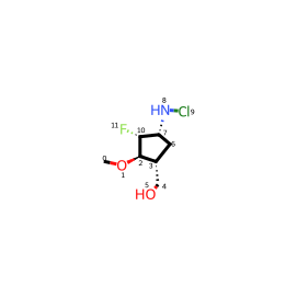 CO[C@@H]1[C@@H](CO)C[C@@H](NCl)[C@H]1F